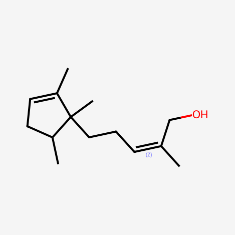 CC1=CCC(C)C1(C)CC/C=C(/C)CO